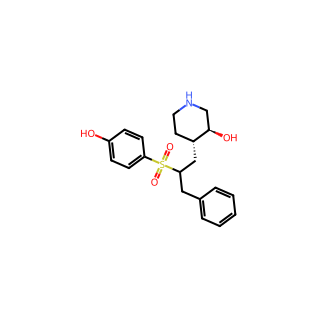 O=S(=O)(c1ccc(O)cc1)C(Cc1ccccc1)C[C@@H]1CCNC[C@H]1O